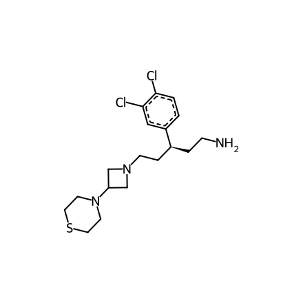 NCC[C@@H](CCN1CC(N2CCSCC2)C1)c1ccc(Cl)c(Cl)c1